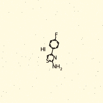 I.Nc1nc(-c2ccc(F)cc2)cs1